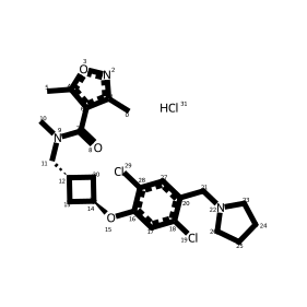 Cc1noc(C)c1C(=O)N(C)C[C@H]1C[C@H](Oc2cc(Cl)c(CN3CCCC3)cc2Cl)C1.Cl